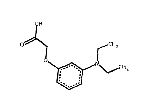 CCN(CC)c1cccc(OCC(=O)O)c1